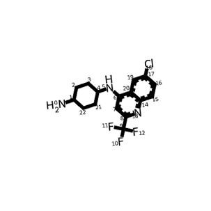 NC1CCC(Nc2cc(C(F)(F)F)nc3ccc(Cl)cc23)CC1